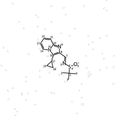 CC(C)(C)[S+]([O-])N=Cc1nc2ccccn2c1C1CC1